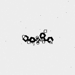 CC1(c2ccc(S(=O)(=O)Nc3ccc(Cl)cc3C(=O)c3cccnc3)cc2)CCOCC1